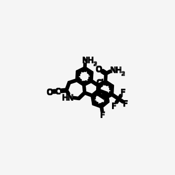 NC(=O)c1cc(C(F)(F)F)cc(F)c1-c1cc(N)cc2c1C(c1cc(F)ccc1Cl)CNC(=C=O)C2